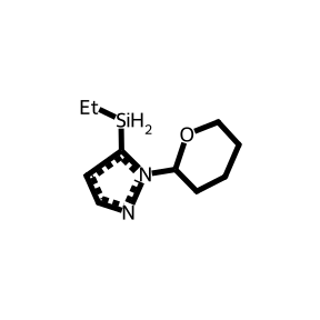 CC[SiH2]c1ccnn1C1CCCCO1